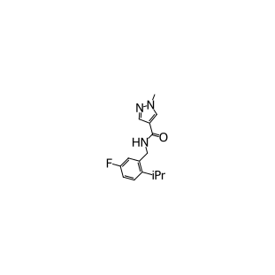 CC(C)c1ccc(F)cc1CNC(=O)c1cnn(C)c1